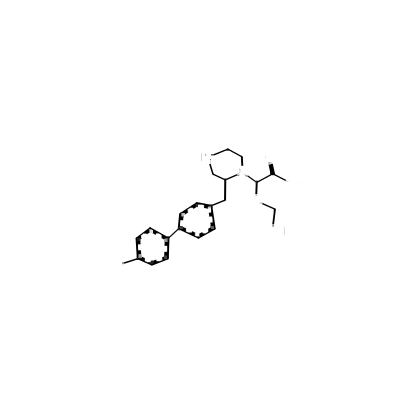 CCOC(C(=O)O)N1CCNCC1Cc1ccc(-c2ccc(Cl)cc2)cc1